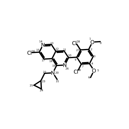 COc1cc(OC)c(Cl)c(-c2cc3cnc(Cl)cc3c(N(C)CC3CC3)n2)c1Cl